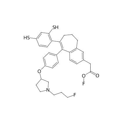 O=C(Cc1ccc2c(c1)CCCC(c1ccc(S)cc1S)=C2c1ccc(OC2CCN(CCCF)C2)cc1)OF